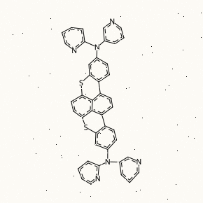 c1ccc(N(c2cccnc2)c2ccc3c(c2)Sc2ccc4c5c(ccc-3c25)-c2ccc(N(c3cccnc3)c3ccccn3)cc2S4)nc1